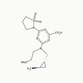 COCCN(C[C@@H]1C[C@H]1C)c1cc(C(=O)O)cc(N2CCCS2(=O)=O)n1